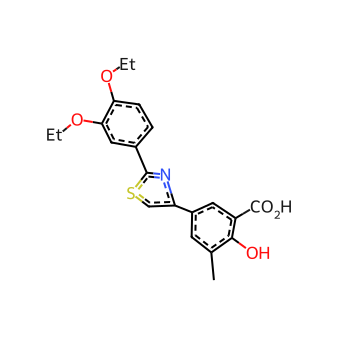 CCOc1ccc(-c2nc(-c3cc(C)c(O)c(C(=O)O)c3)cs2)cc1OCC